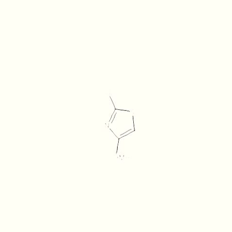 COc1csc([O])n1